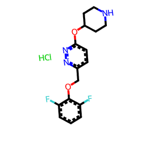 Cl.Fc1cccc(F)c1OCc1ccc(OC2CCNCC2)nn1